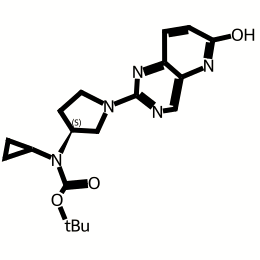 CC(C)(C)OC(=O)N(C1CC1)[C@H]1CCN(c2ncc3nc(O)ccc3n2)C1